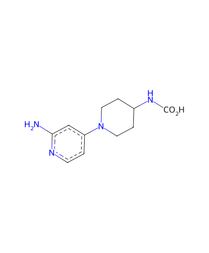 Nc1cc(N2CCC(NC(=O)O)CC2)ccn1